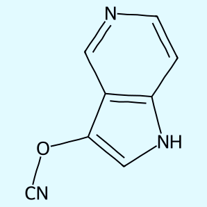 N#COc1c[nH]c2ccncc12